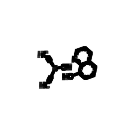 C#CB(O)C#C.Oc1cccc2cccnc12